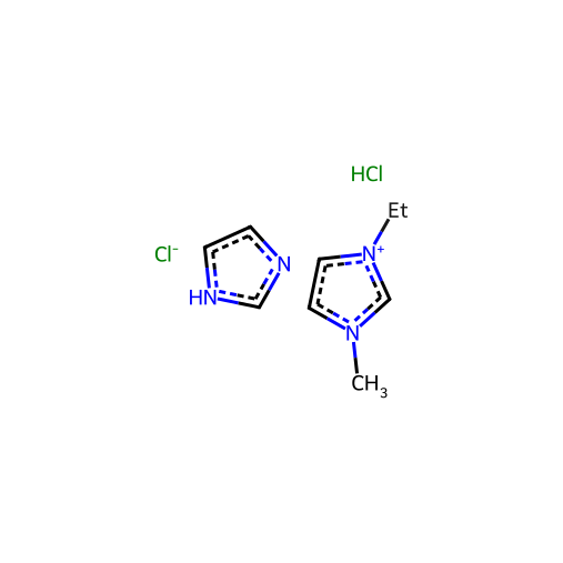 CC[n+]1ccn(C)c1.Cl.[Cl-].c1c[nH]cn1